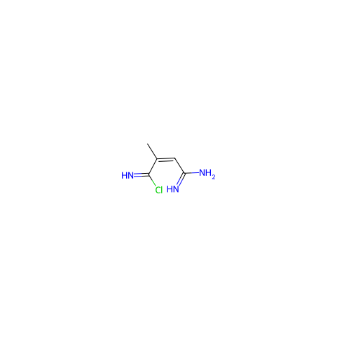 C/C(=C/C(=N)N)C(=N)Cl